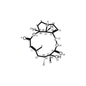 C/C1=C\C(=O)O[C@@H]2CCN3CC=C(COC(=O)[C@](C)(O)[C@H](C)C1)[C@H]23